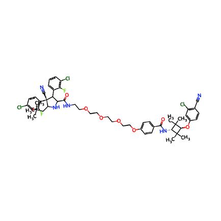 CC(C)(C)CC1NC(C(=O)NCCOCCOCCOCCOc2ccc(C(=O)N[C@H]3C(C)(C)[C@H](Oc4ccc(C#N)c(Cl)c4)C3(C)C)cc2)C(c2cccc(Cl)c2F)[C@@]1(C#N)c1ccc(Cl)cc1F